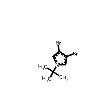 CC(C)(C)n1cc(Br)c(Br)c1